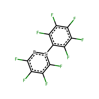 Fc1b[si](-c2c(F)c(F)c(F)c(F)c2F)c(F)c(F)c1F